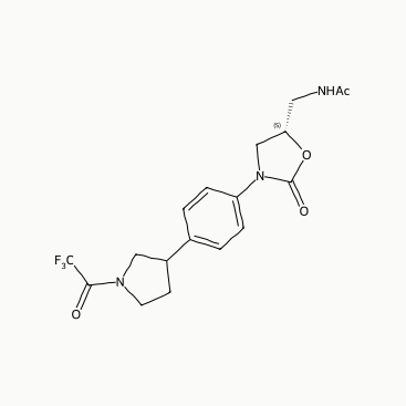 CC(=O)NC[C@H]1CN(c2ccc(C3CCN(C(=O)C(F)(F)F)C3)cc2)C(=O)O1